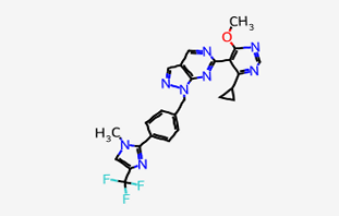 COc1ncnc(C2CC2)c1-c1ncc2cnn(Cc3ccc(-c4nc(C(F)(F)F)cn4C)cc3)c2n1